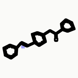 O=C(Cc1ccc(/C=C/c2ccccc2)cc1)c1ccccc1